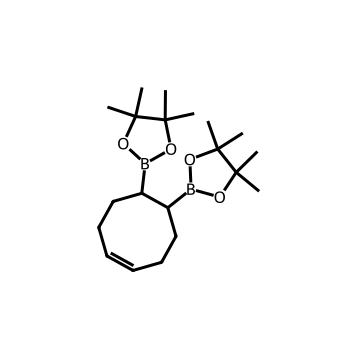 CC1(C)OB(C2CCC=CCCC2B2OC(C)(C)C(C)(C)O2)OC1(C)C